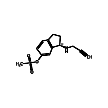 C#CCN[C@@H]1CCc2ccc(OS(C)(=O)=O)cc21